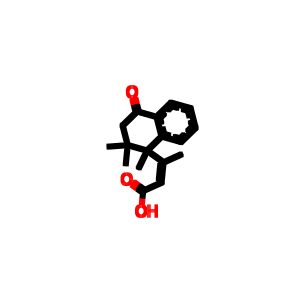 C/C(=C/C(=O)O)C1(C)c2ccccc2C(=O)CC1(C)C